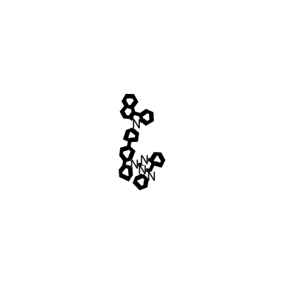 c1ccc2c(c1)ccc1c2c2ccccc2n1-c1ccc(-c2ccc3c4ccccc4n(-c4nc5ccccc5c5nc6ccccc6n45)c3c2)cc1